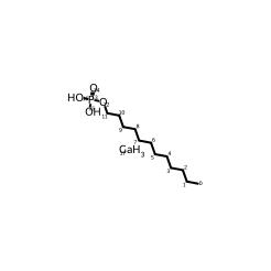 CCCCCCCCCCCCOP(=O)(O)O.[GaH3]